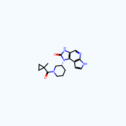 CC1(C(=O)N2CCC[C@@H](n3c(=O)[nH]c4cnc5[nH]ccc5c43)C2)CC1